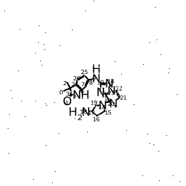 CC1(C)C(=O)Nc2cc(Nc3nc4c(N5CC[C@H](N)C5)nccn4n3)ccc21